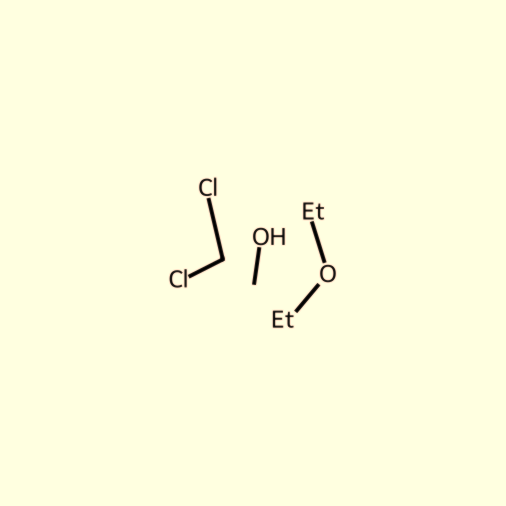 CCOCC.CO.ClCCl